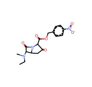 CCN(C)C1C(=O)N2C(C(=O)OCc3ccc([N+](=O)[O-])cc3)C(=O)CC12